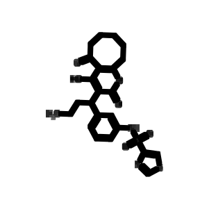 CCCC(c1cccc(NS(=O)(=O)c2cscn2)c1)c1c(O)c2c(oc1=O)CCCCCC2=O